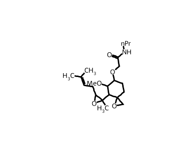 CCCNC(=O)COC1CCC2(CO2)C(C2(C)OC2CC=C(C)C)C1OC